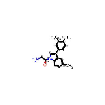 Cc1ccc2c(c1)c(-c1ccc(C)c(C)c1)cn2C(=O)CN